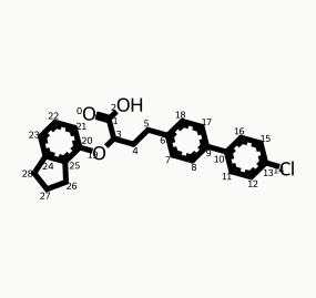 O=C(O)C(CCc1ccc(-c2ccc(Cl)cc2)cc1)Oc1cccc2c1CCC2